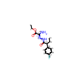 CCOC(=O)/C(N)=N/NC(=O)C(CC)c1ccc(F)cc1